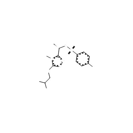 CCn1c(SCC(F)F)nnc1[C@@H](C)NS(=O)(=O)c1ccc(Cl)cc1